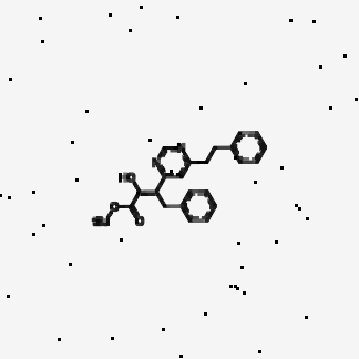 CC(C)(C)OC(=O)/C(O)=C(\Cc1ccccc1)c1cc(CCc2ccccc2)ncn1